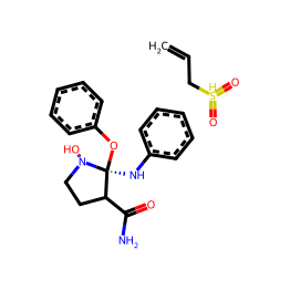 C=CC[SH](=O)=O.NC(=O)C1CCN(O)[C@@]1(Nc1ccccc1)Oc1ccccc1